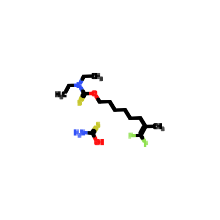 CCN(CC)C(=S)OCCCCCCC(C)=C(F)F.NC(O)=S